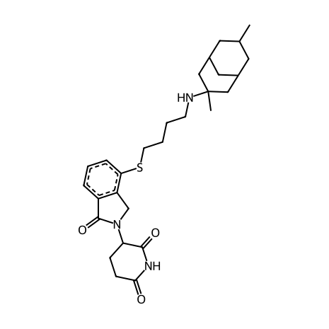 CC1CC2CC(C1)CC(C)(NCCCCSc1cccc3c1CN(C1CCC(=O)NC1=O)C3=O)C2